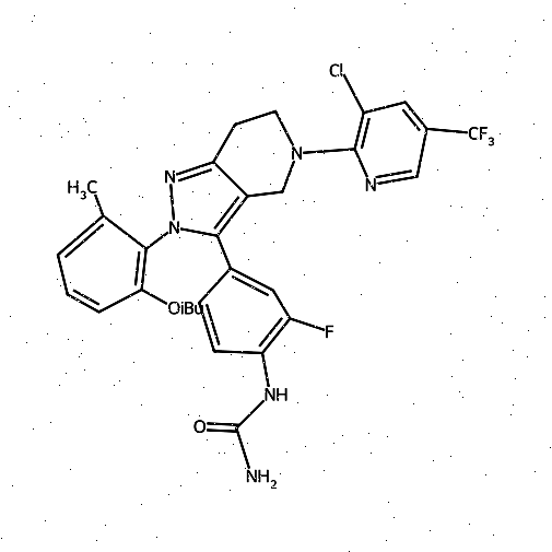 Cc1cccc(OCC(C)C)c1-n1nc2c(c1-c1ccc(NC(N)=O)c(F)c1)CN(c1ncc(C(F)(F)F)cc1Cl)CC2